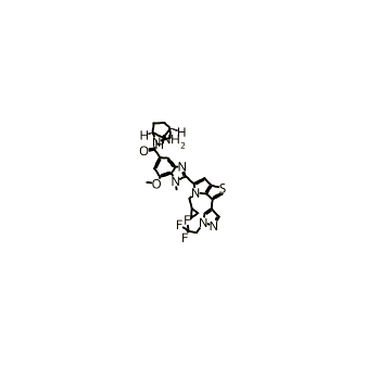 COc1cc(C(=O)N2C[C@H]3CC[C@@H]2[C@@H]3N)cc2nc(-c3cc4scc(-c5cnn(CC(F)(F)F)c5)c4n3CC3CC3)n(C)c12